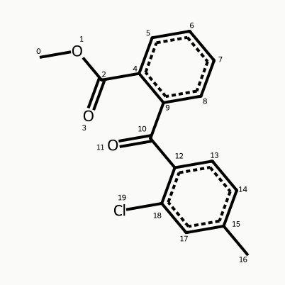 COC(=O)c1ccccc1C(=O)c1ccc(C)cc1Cl